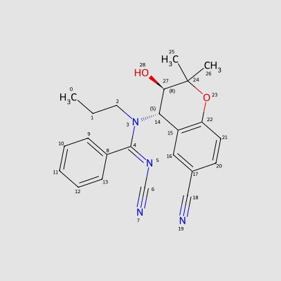 CCCN(C(=NC#N)c1ccccc1)[C@H]1c2cc(C#N)ccc2OC(C)(C)[C@@H]1O